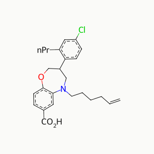 C=CCCCCN1CC(c2ccc(Cl)cc2CCC)COc2ccc(C(=O)O)cc21